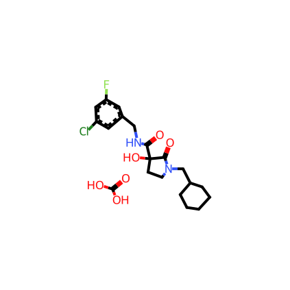 O=C(NCc1cc(F)cc(Cl)c1)C1(O)CCN(CC2CCCCC2)C1=O.O=C(O)O